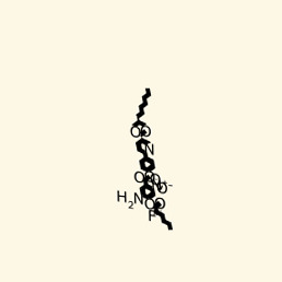 CCCCCCC[C@H]1CO[C@H](c2ccc(-c3ccc(OC(=O)c4cc(N)c(OC(=O)[C@H](F)CCCC)cc4[N+](=O)[O-])cc3)nc2)OC1